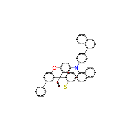 c1ccc(-c2ccc3c(c2)C2(c4cc(N(c5ccc(-c6cccc7ccccc67)cc5)c5cccc6ccccc56)ccc4O3)c3ccccc3Sc3ccccc32)cc1